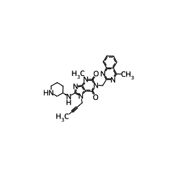 CC#CCn1c(N[C@@H]2CCCNC2)nc2c1c(=O)n(Cc1nc(C)c3ccccc3n1)c(=O)n2C